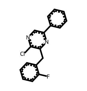 Fc1ccccc1Cc1nc(-c2ccccc2)cnc1Cl